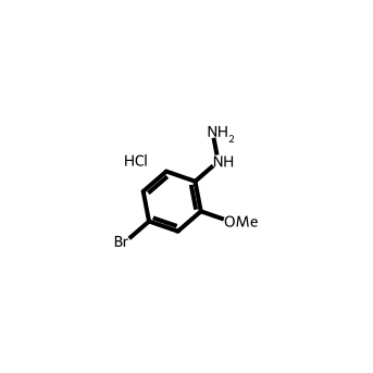 COc1cc(Br)ccc1NN.Cl